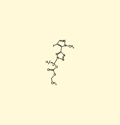 CCOC(=O)O[C@@H](C)n1nnc(-c2c(I)cnn2C)n1